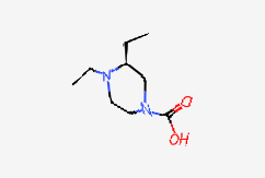 CC[C@H]1CN(C(=O)O)CCN1CC